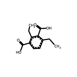 CCc1ccc(C(=O)O)c(CC)c1C(=O)O